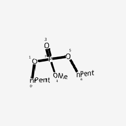 CCCCCOP(=O)(OC)OCCCCC